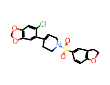 O=S(=O)(c1ccc2c(c1)CCO2)N1CC=C(c2cc3c(cc2Cl)OCO3)CC1